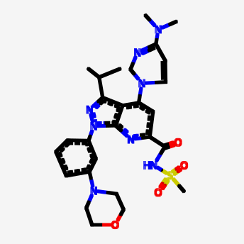 CC(C)c1nn(-c2cccc(N3CCOCC3)c2)c2nc(C(=O)NS(C)(=O)=O)cc(N3C=CC(N(C)C)=NC3)c12